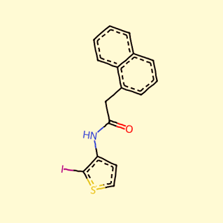 O=C(Cc1cccc2ccccc12)Nc1ccsc1I